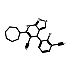 N#CC1=C(C2CCCCCC2)Nc2n[nH]cc2C1c1cccc(C#N)c1Br